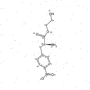 N[C@@H](Cc1ccc([N+](=O)[O-])cc1)C(=O)OCCO